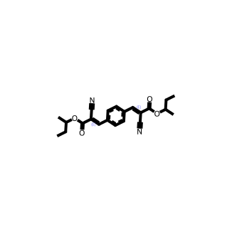 CCC(C)OC(=O)/C(C#N)=C/c1ccc(/C=C(\C#N)C(=O)OC(C)CC)cc1